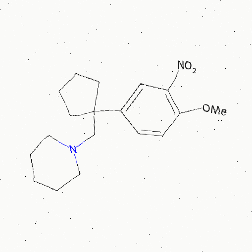 COc1ccc(C2(CN3CCCCC3)CCCC2)cc1[N+](=O)[O-]